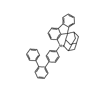 c1ccc(-c2ccccc2-c2ccc(Nc3cccc4c3C3(c5ccccc5-4)C4CC5CC(C4)CC3C5)cc2)cc1